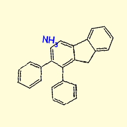 N.c1ccc(-c2ccc3c(c2-c2ccccc2)Cc2ccccc2-3)cc1